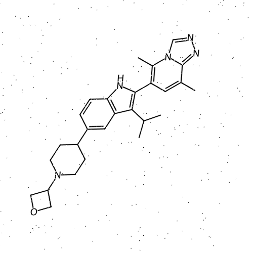 Cc1cc(-c2[nH]c3ccc(C4CCN(C5COC5)CC4)cc3c2C(C)C)c(C)n2cnnc12